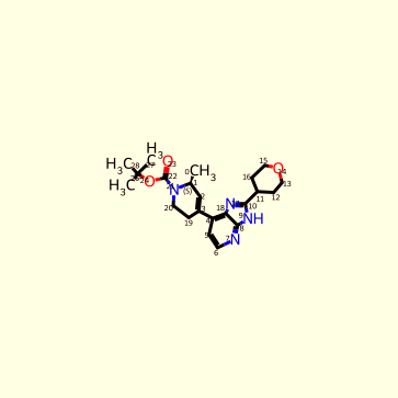 C[C@H]1C=C(c2ccnc3[nH]c(C4CCOCC4)nc23)CCN1C(=O)OC(C)(C)C